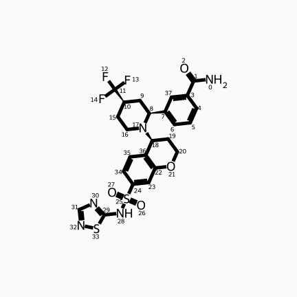 NC(=O)c1cccc([C@@H]2C[C@H](C(F)(F)F)CCN2[C@H]2CCOc3cc(S(=O)(=O)Nc4ncns4)ccc32)c1